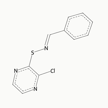 Clc1nccnc1SN=Cc1ccccc1